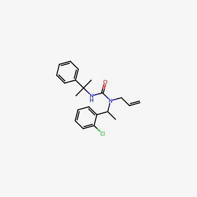 C=CCN(C(=O)NC(C)(C)c1ccccc1)C(C)c1ccccc1Cl